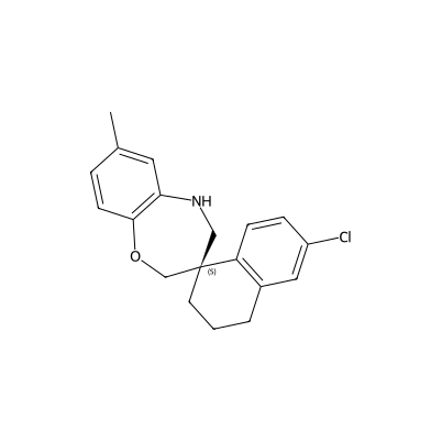 Cc1ccc2c(c1)NC[C@@]1(CCCc3cc(Cl)ccc31)CO2